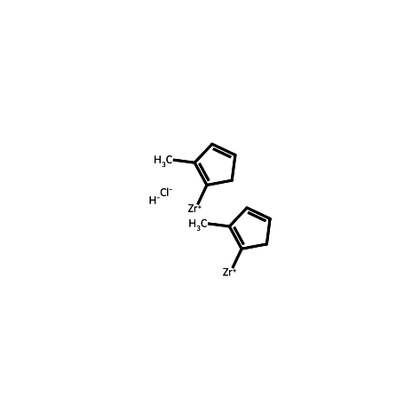 CC1=[C]([Zr+])CC=C1.CC1=[C]([Zr+])CC=C1.[Cl-].[H-]